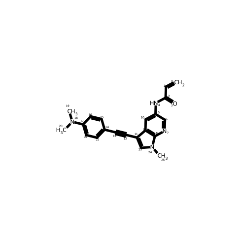 C=CC(=O)Nc1cnc2c(c1)c(C#Cc1ccc(N(C)C)cc1)cn2C